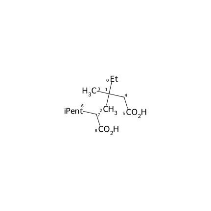 CCC(C)(C)CC(=O)O.CCCC(C)CC(=O)O